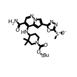 C[S+]([O-])c1nnc(-c2cc3c(NC4CCN(C(=O)OC(C)(C)C)CC4(C)C)c(C(N)=O)cnn3c2)o1